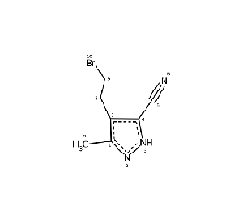 Cc1n[nH]c(C#N)c1CCBr